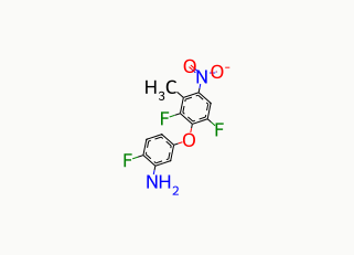 Cc1c([N+](=O)[O-])cc(F)c(Oc2ccc(F)c(N)c2)c1F